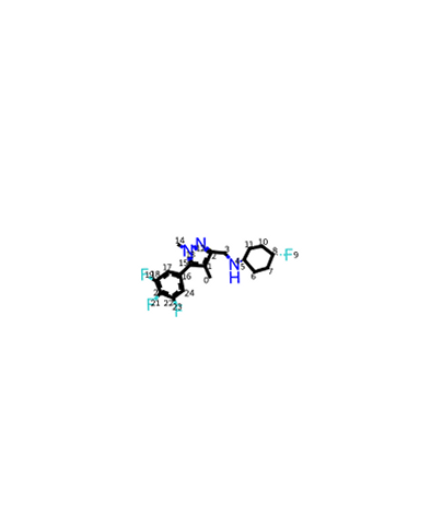 Cc1c(CN[C@H]2CC[C@@H](F)CC2)nn(C)c1-c1cc(F)c(F)c(F)c1